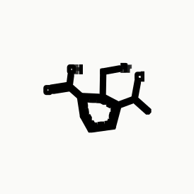 CC(Cl)c1cccc(C(=O)O)c1CBr